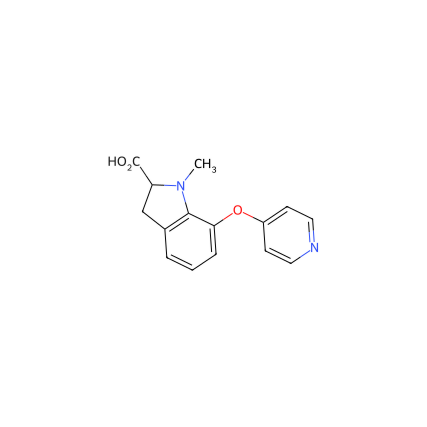 CN1c2c(cccc2Oc2ccncc2)CC1C(=O)O